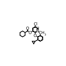 Cc1cccc(C2CC2)c1Oc1nnc(Cl)cc1OC(=O)C1CCCCC1